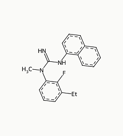 CCc1cccc(N(C)C(=N)Nc2cccc3ccccc23)c1F